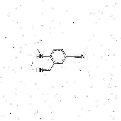 CNc1ccc(C#N)cc1C=N